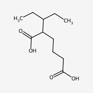 CCC(CC)C(CCCC(=O)O)C(=O)O